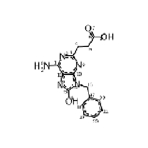 Nc1nc(CCC(=O)O)nc2c1nc(O)n2Cc1ccccc1